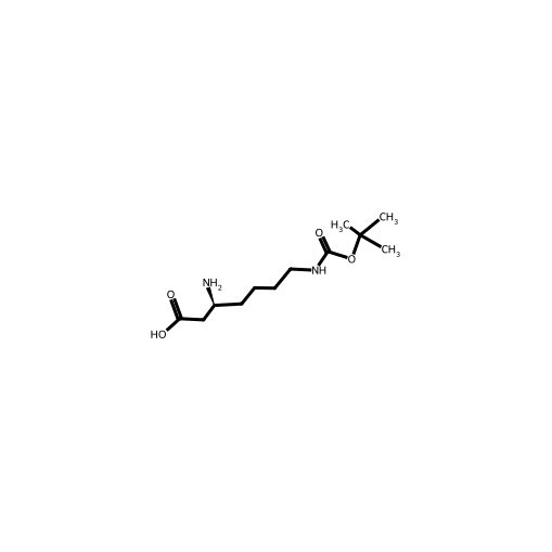 CC(C)(C)OC(=O)NCCCC[C@H](N)CC(=O)O